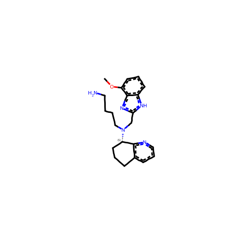 COc1cccc2[nH]c(CN(CCCCN)[C@H]3CCCc4cccnc43)nc12